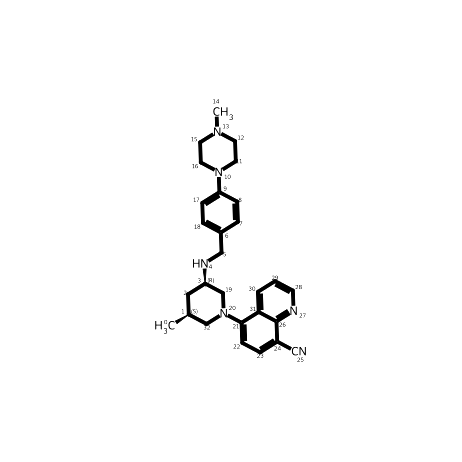 C[C@H]1C[C@@H](NCc2ccc(N3CCN(C)CC3)cc2)CN(c2ccc(C#N)c3ncccc23)C1